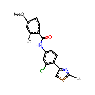 CCc1nc(-c2ccc(NC(=O)c3ccc(OC)cc3CC)cc2Cl)cs1